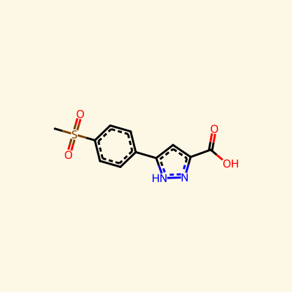 CS(=O)(=O)c1ccc(-c2cc(C(=O)O)n[nH]2)cc1